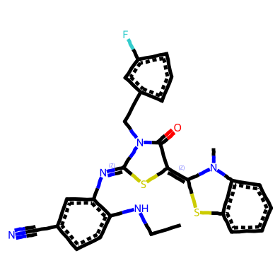 CCNc1ccc(C#N)cc1/N=C1\S/C(=C2\Sc3ccccc3N2C)C(=O)N1Cc1cccc(F)c1